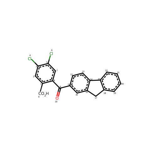 O=C(O)c1cc(Cl)c(Cl)cc1C(=O)c1ccc2c(c1)Cc1ccccc1-2